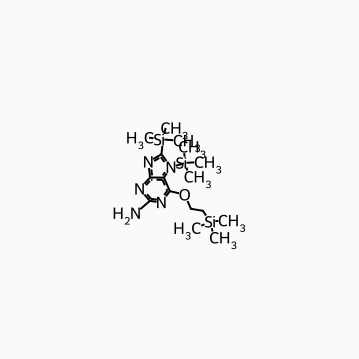 C[Si](C)(C)CCOc1nc(N)nc2nc([Si](C)(C)C)n([Si](C)(C)C)c12